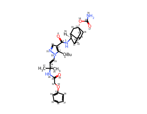 CC(C)COc1c(C(=O)N[C@H]2C3CC4CC2C[C@](OC(N)=O)(C4)C3)cnn1/C=C/C(C)(C)NC(=O)COc1ccccc1